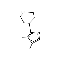 Cc1cnc(C2CCNCC2)n1C